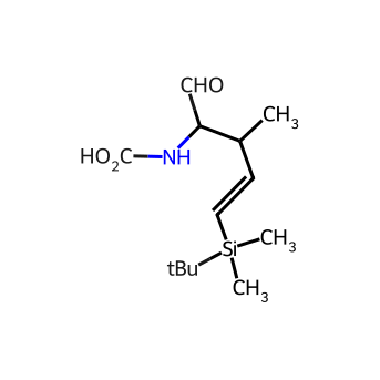 CC(C=C[Si](C)(C)C(C)(C)C)C(C=O)NC(=O)O